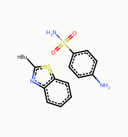 CCCCc1nc2ccccc2s1.Nc1ccc(S(N)(=O)=O)cc1